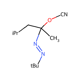 CC(C)CC(C)(N=NC(C)(C)C)OC#N